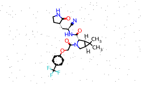 CC1(C)[C@@H]2[C@@H](C(=O)N[C@H](C#N)C[C@@H]3CCNC3=O)N(C(=O)COc3ccc(C(F)(F)F)cc3)C[C@@H]21